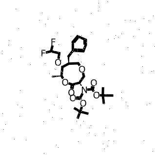 C[C@@H]1OC(=O)[C@@H](N(C(=O)OC(C)(C)C)C(=O)OC(C)(C)C)COC[C@H](Cc2ccccc2)[C@H]1OCC(F)F